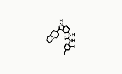 S=C(Nc1ccc2[nH]cc(C3CCC4CCCCN4CC3)c2c1)Nc1ccc(I)cc1I